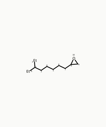 CCC(CC)CCCCCC1CO1